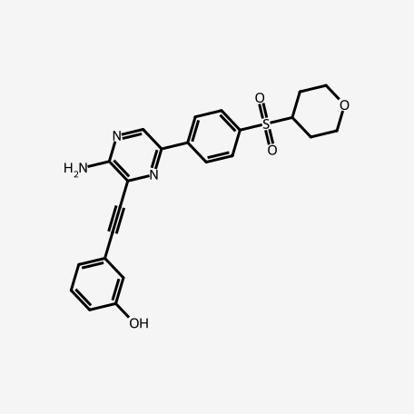 Nc1ncc(-c2ccc(S(=O)(=O)C3CCOCC3)cc2)nc1C#Cc1cccc(O)c1